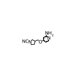 N#CN1CCC(COc2ccnc(N)c2)C1